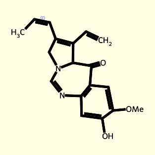 C=CC1=C(/C=C\C)CN2C=Nc3cc(O)c(OC)cc3C(=O)C12